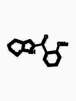 COc1ccccc1C(=O)c1cc2ccccc2[nH]1